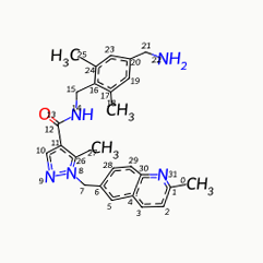 Cc1ccc2cc(Cn3ncc(C(=O)NCc4c(C)cc(CN)cc4C)c3C)ccc2n1